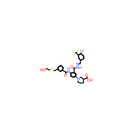 O=C(Nc1ccc(N2CCCC(C(=O)O)C2)cc1C(=O)N/N=C/c1ccc(Cl)c(C(F)(F)F)c1)c1cccc(CSCCO)c1